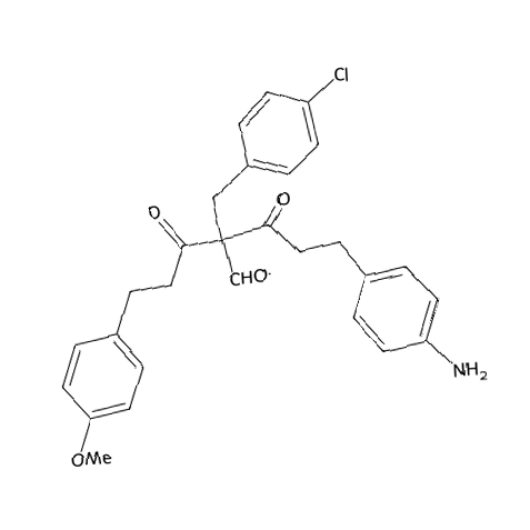 COc1ccc(CCC(=O)C([C]=O)(Cc2ccc(Cl)cc2)C(=O)CCc2ccc(N)cc2)cc1